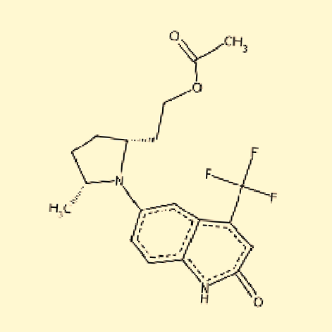 CC(=O)OCC[C@H]1CC[C@@H](C)N1c1ccc2[nH]c(=O)cc(C(F)(F)F)c2c1